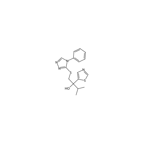 CC(C)C(O)(CSc1nncn1-c1ccccc1)c1cncs1